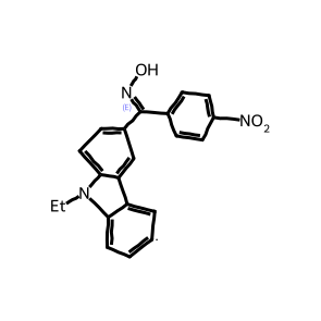 CCn1c2cc[c]cc2c2cc(/C(=N/O)c3ccc([N+](=O)[O-])cc3)ccc21